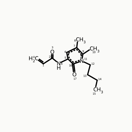 C=CC(=O)Nc1cc(C)c(C)n(CCCC)c1=O